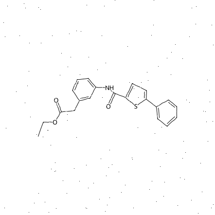 CCOC(=O)Cc1cccc(NC(=O)c2ccc(-c3ccccc3)s2)c1